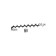 CCCCCCCC/C=C\CCCCCCCCCCCCCC(=O)O.[KH].[KH]